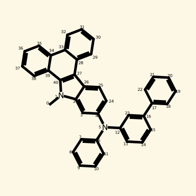 Cn1c2cc(N(c3ccccc3)c3cccc(-c4ccccc4)c3)ccc2c2c3ccccc3c3ccccc3c21